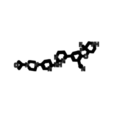 N#Cc1cc(-c2ccnc(Nc3ccc(N4CCN(C5COC5)CC4)cn3)n2)ccc1OC1CCNCC1(F)F